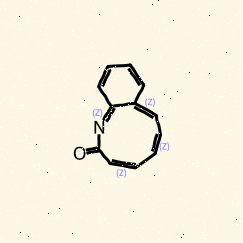 O=C1\C=C/C=C\C=c2\cccc\c2=N\1